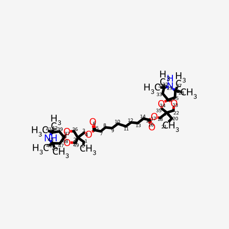 CCC1(COC(=O)CCCCCCCCC(=O)OCC2(CC)COC3(CC(C)(C)NC(C)(C)C3)OC2)COC2(CC(C)(C)NC(C)(C)C2)OC1